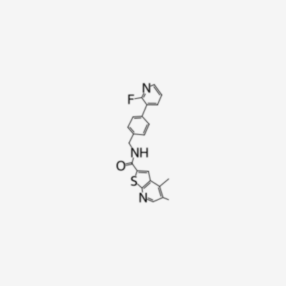 Cc1cnc2sc(C(=O)NCc3ccc(-c4cccnc4F)cc3)cc2c1C